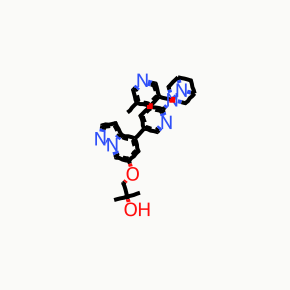 Cc1cncc(CN2C3CC2CN(c2ccc(-c4cc(OCC(C)(C)O)cn5nccc45)cn2)C3)c1